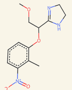 COCC(Oc1cccc([N+](=O)[O-])c1C)C1=NCCN1